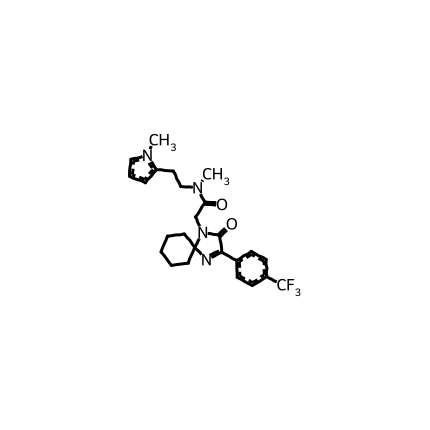 CN(CCc1cccn1C)C(=O)CN1C(=O)C(c2ccc(C(F)(F)F)cc2)=NC12CCCCC2